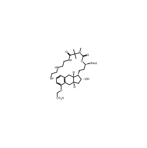 CCCCC[C@@H](CC[C@@H]1[C@H]2Cc3cccc(OCC(=O)O)c3C[C@H]2C[C@H]1O)OC(=O)N(C)C(C)(C)C(=O)NCCNCCS